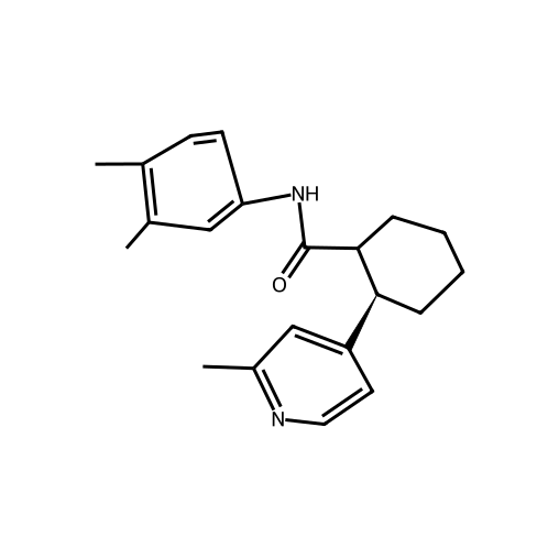 Cc1cc([C@@H]2CCCCC2C(=O)Nc2ccc(C)c(C)c2)ccn1